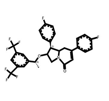 C[C@@H](OC1CN2C(=O)C=C(c3ccc(F)cc3)CC2[C@@H]1c1ccc(F)cc1)c1cc(C(F)(F)F)cc(C(F)(F)F)c1